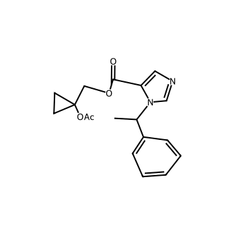 CC(=O)OC1(COC(=O)c2cncn2C(C)c2ccccc2)CC1